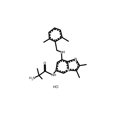 Cc1cccc(C)c1CNc1cc(NC(=O)C(C)(C)N)cn2c(C)c(C)nc12.Cl